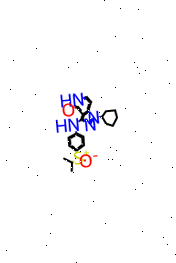 CC(C)[S+]([O-])c1ccc(Nc2nn(C3CCCCC3)c3cc[nH]c(=O)c23)cc1